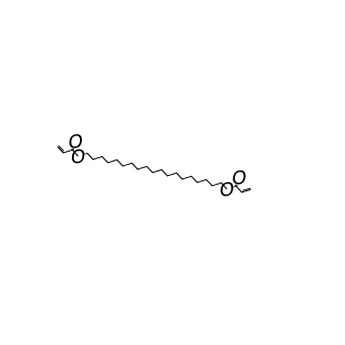 C=CC(=O)OCCCCCCCCCCCCCCCCCCCOC(=O)C=C